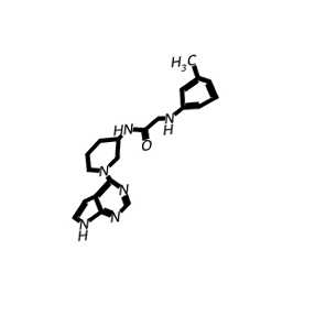 Cc1cccc(NCC(=O)NC2CCCN(c3ncnc4[nH]ccc34)C2)c1